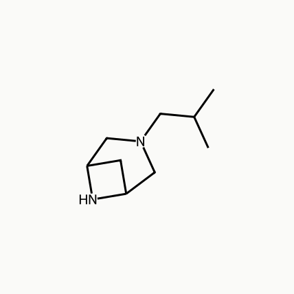 CC(C)CN1CC2CC(C1)N2